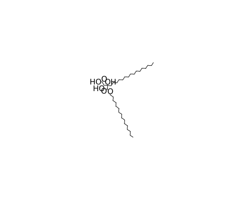 CCCCCCCCCCCCCCCCOC(=O)C(O)(CCCCCCCCCCCCCCCC)C(O)C(=O)O